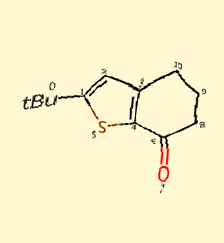 CC(C)(C)c1cc2c(s1)C(=O)CCC2